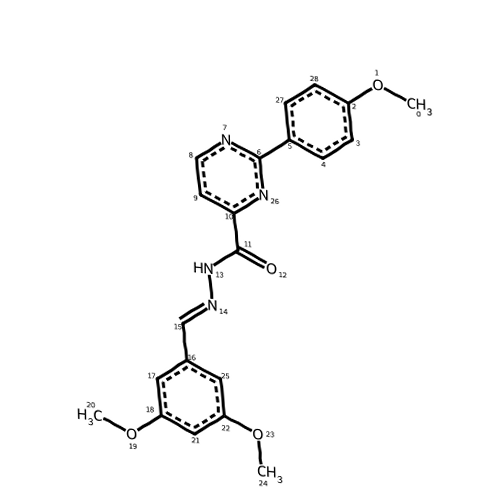 COc1ccc(-c2nccc(C(=O)N/N=C/c3cc(OC)cc(OC)c3)n2)cc1